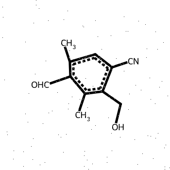 Cc1cc(C#N)c(CO)c(C)c1C=O